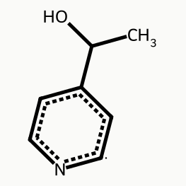 CC(O)c1c[c]ncc1